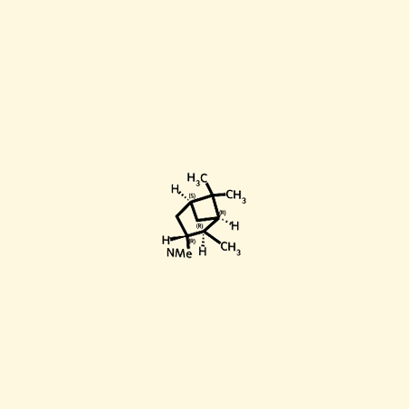 CN[C@@H]1C[C@@H]2C[C@H]([C@H]1C)C2(C)C